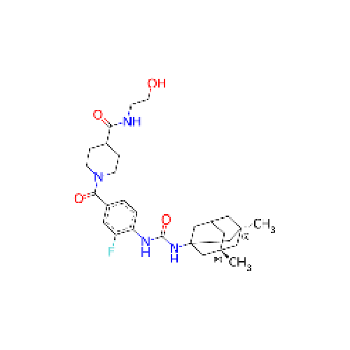 C[C@]12CC3CC(NC(=O)Nc4ccc(C(=O)N5CCC(C(=O)NCCO)CC5)cc4F)(C1)C[C@@](C)(C3)C2